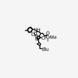 COC(=O)CCC(CC(=O)Nc1ccc(C)cc1Cl)c1noc(C2CC(CC(C)(C)C)C2)c1C(F)(F)F